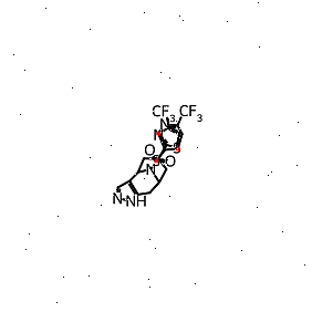 O=S(=O)(c1ccc(C(F)(F)F)nc1)N1C2Cc3[nH]ncc3C1CC(c1nc(C(F)(F)F)cs1)C2